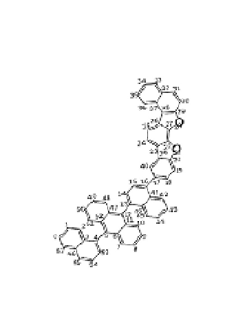 c1ccc2c(-c3c4ccccc4c(-c4ccc(-c5ccc6oc7c(ccc8c7oc7ccc9ccccc9c78)c6c5)c5ccccc45)c4ccccc34)cccc2c1